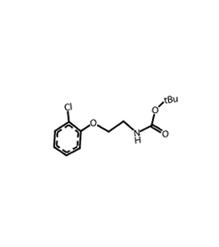 CC(C)(C)OC(=O)NCCOc1ccccc1Cl